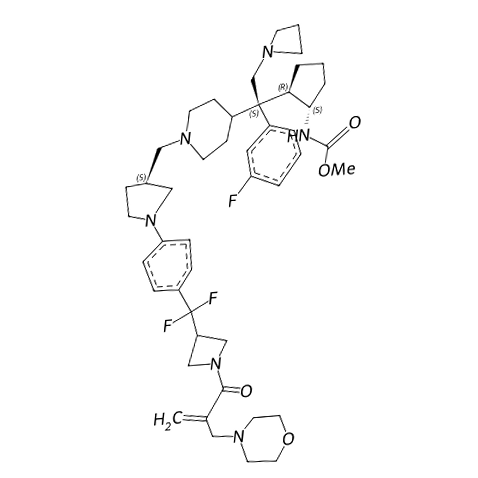 C=C(CN1CCOCC1)C(=O)N1CC(C(F)(F)c2ccc(N3CC[C@@H](CN4CCC([C@@](CN5CCC5)(c5cccc(F)c5)[C@H]5CCC[C@@H]5NC(=O)OC)CC4)C3)cc2)C1